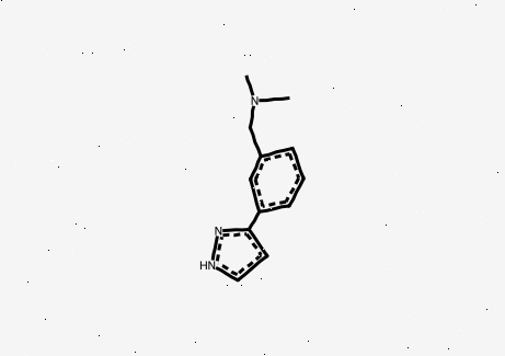 CN(C)Cc1cccc(-c2cc[nH]n2)c1